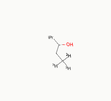 [2H]C([2H])([2H])CC(O)C(C)C